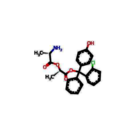 C[C@H](N)C(=O)O[C@@H](C)C(=O)OC(c1ccccc1)(c1ccc(O)cc1)c1ccccc1Cl